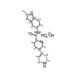 Cc1cn2cc(NC(=O)c3ccc(C4=CCNCC4)cn3)ccc2n1.Cl.Cl